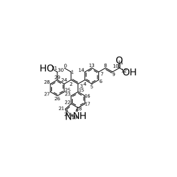 CCC(=C(c1ccc(C=CC(=O)O)cc1)c1ccc2[nH]ncc2c1)c1ccccc1CO